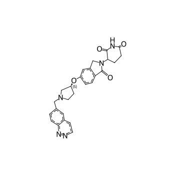 O=C1CCC(N2Cc3cc(O[C@H]4CCN(Cc5ccc6nnccc6c5)C4)ccc3C2=O)C(=O)N1